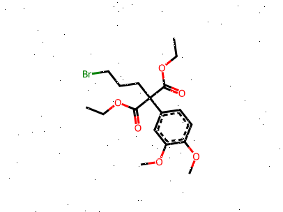 CCOC(=O)C(CCCBr)(C(=O)OCC)c1ccc(OC)c(OC)c1